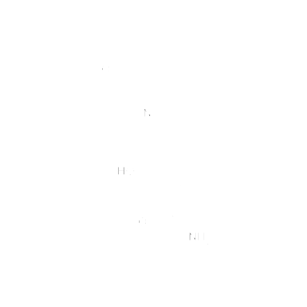 NC(=O)CC(O)CN1CCOCC1